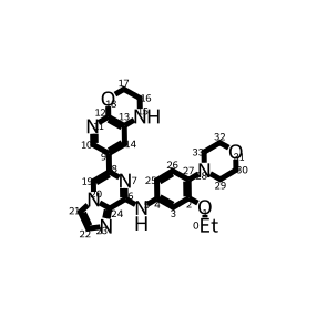 CCOc1cc(Nc2nc(-c3cnc4c(c3)NCCO4)cn3ccnc23)ccc1N1CCOCC1